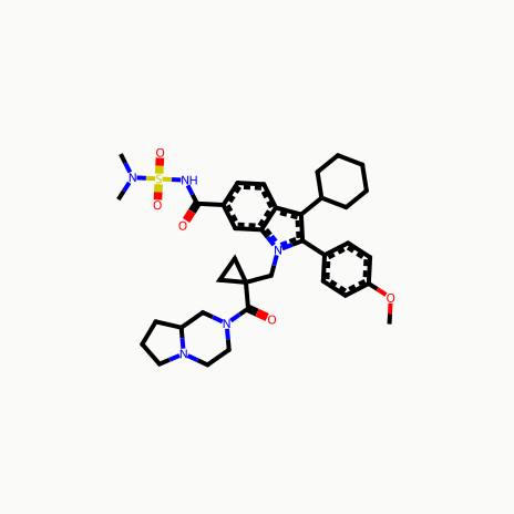 COc1ccc(-c2c(C3CCCCC3)c3ccc(C(=O)NS(=O)(=O)N(C)C)cc3n2CC2(C(=O)N3CCN4CCCC4C3)CC2)cc1